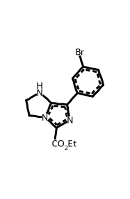 CCOC(=O)c1nc(-c2cccc(Br)c2)c2n1CCN2